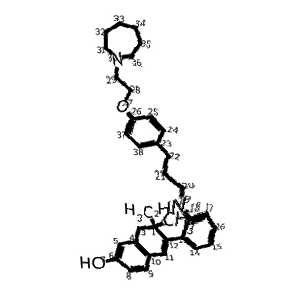 CC1(C)Cc2cc(O)ccc2C=C1c1ccccc1NCCCc1ccc(OCCN2CCCCCC2)cc1